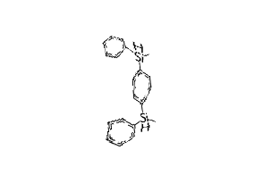 C[SiH](c1ccccc1)c1ccc([SiH](C)c2ccccc2)cc1